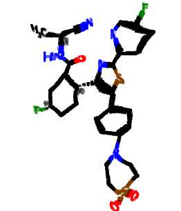 C[C@@H](C#N)NC(=O)C1C[C@@H](F)CC[C@H]1c1nc(-c2ccc(F)cn2)sc1-c1ccc(N2CCS(=O)(=O)CC2)cc1